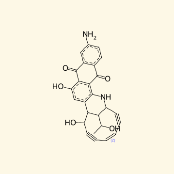 CC(O)C1C2C#C/C=C\C#CC(O)C1c1cc(O)c3c(c1N2)C(=O)c1ccc(N)cc1C3=O